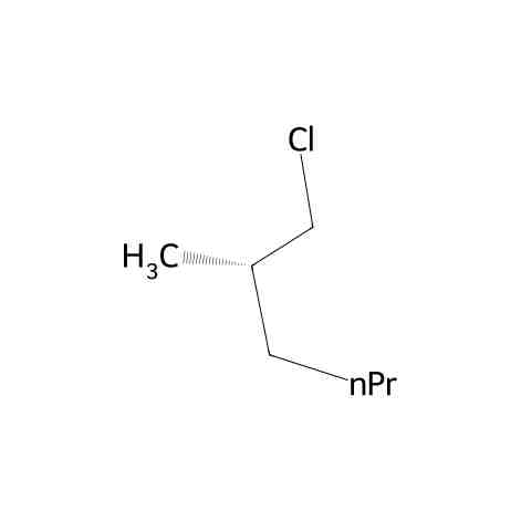 CCCC[C@H](C)CCl